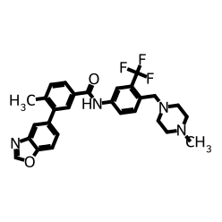 Cc1ccc(C(=O)Nc2ccc(CN3CCN(C)CC3)c(C(F)(F)F)c2)cc1-c1ccc2ocnc2c1